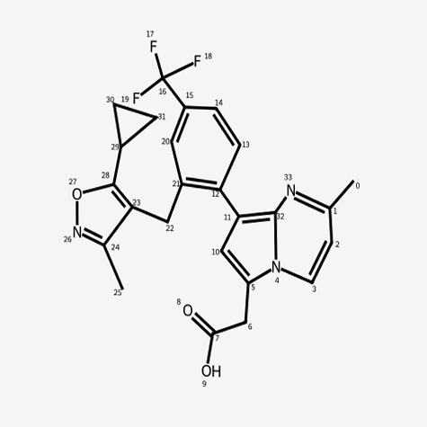 Cc1ccn2c(CC(=O)O)cc(-c3ccc(C(F)(F)F)cc3Cc3c(C)noc3C3CC3)c2n1